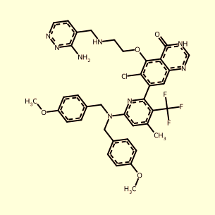 COc1ccc(CN(Cc2ccc(OC)cc2)c2cc(C)c(C(F)(F)F)c(-c3cc4nc[nH]c(=O)c4c(OCCNCc4ccnnc4N)c3Cl)n2)cc1